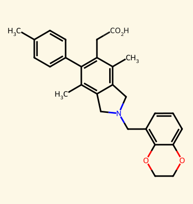 Cc1ccc(-c2c(C)c3c(c(C)c2CC(=O)O)CN(Cc2cccc4c2OCCO4)C3)cc1